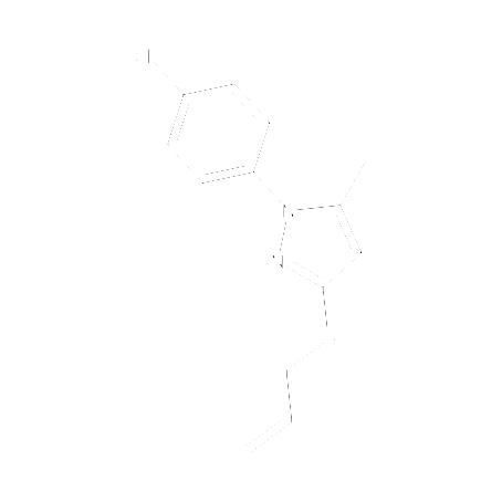 C=CCOc1cc(C)n(-c2ccc(Cl)cc2)n1